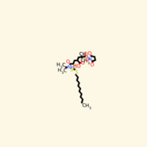 CCCCCCCCCCCCSC(=S)SC(CC(CC(C)(C)C(=O)ON1C(=O)CCC1=O)C(=O)O)C(=O)NC(C)C